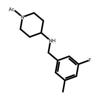 CC(=O)N1CCC(NCc2cc(C)cc(F)c2)CC1